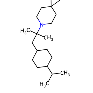 CC(C)C1CCC(CC(C)(C)N2CCC3(CC2)CC3)CC1